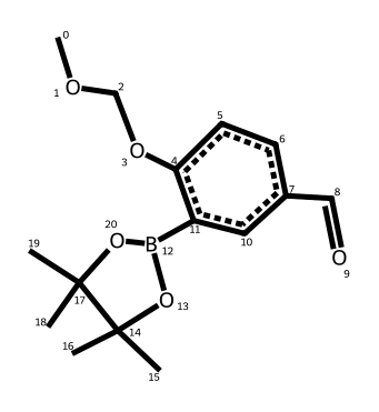 COCOc1ccc(C=O)cc1B1OC(C)(C)C(C)(C)O1